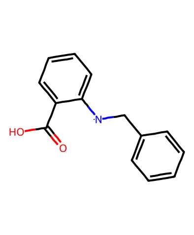 O=C(O)c1ccccc1[N]Cc1ccccc1